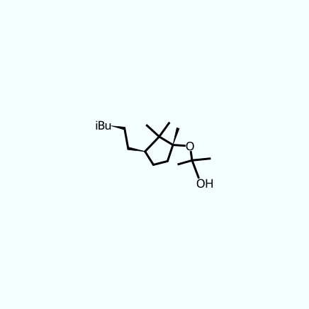 CC[C@H](C)CC[C@@H]1CC[C@@](C)(OC(C)(C)O)C1(C)C